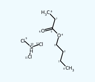 CCCCOC(=O)CC.Cl[SiH](Cl)Cl